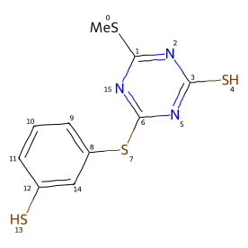 CSc1nc(S)nc(Sc2cccc(S)c2)n1